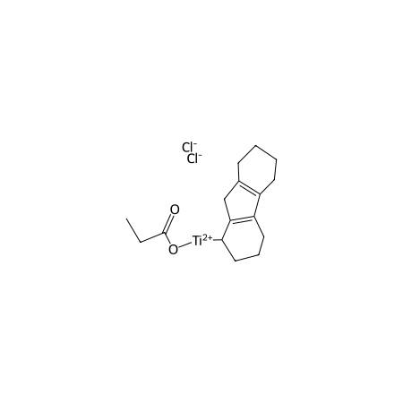 CCC(=O)[O][Ti+2][CH]1CCCC2=C1CC1=C2CCCC1.[Cl-].[Cl-]